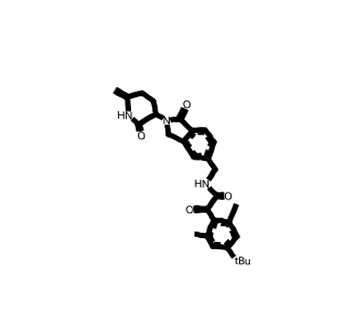 C=C1CCC(N2Cc3cc(CNC(=O)C(=O)c4c(C)cc(C(C)(C)C)cc4C)ccc3C2=O)C(=O)N1